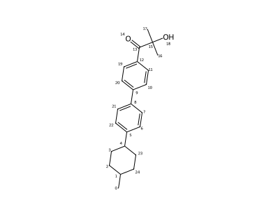 CC1CCC(c2ccc(-c3ccc(C(=O)C(C)(C)O)cc3)cc2)CC1